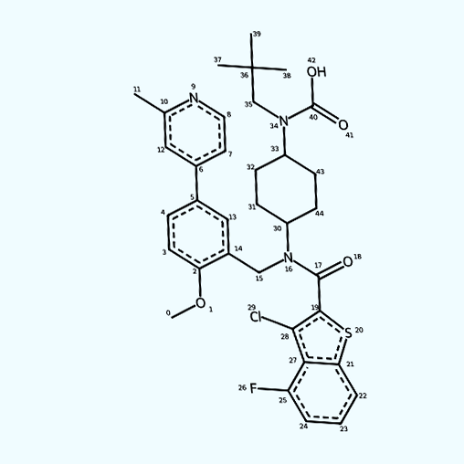 COc1ccc(-c2ccnc(C)c2)cc1CN(C(=O)c1sc2cccc(F)c2c1Cl)C1CCC(N(CC(C)(C)C)C(=O)O)CC1